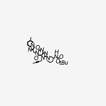 CC#CCn1c(N2CCCC(NC(=O)OC(C)(C)C)C2)nc2c1c(=O)n(Cc1cn3cc(C)ccc3n1)c(=O)n2C